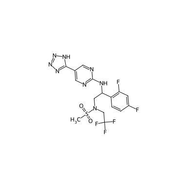 CS(=O)(=O)N(CC(Nc1ncc(-c2nnn[nH]2)cn1)c1ccc(F)cc1F)CC(F)(F)F